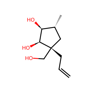 C=CC[C@]1(CO)C[C@@H](C)[C@H](O)[C@@H]1O